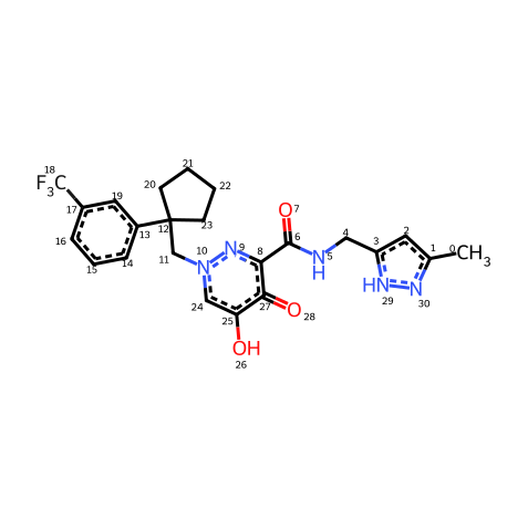 Cc1cc(CNC(=O)c2nn(CC3(c4cccc(C(F)(F)F)c4)CCCC3)cc(O)c2=O)[nH]n1